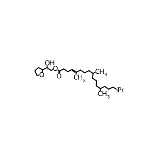 C/C(=C\CCC(=O)OCC(O)C1CCCO1)CCCC(C)CCCC(C)CCCC(C)C